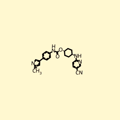 Cn1cc(-c2ccc(NC(=O)O[C@H]3CC[C@H](Nc4ccc(C#N)cn4)CC3)cc2)cn1